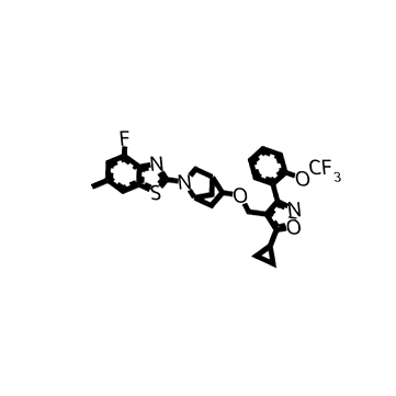 Cc1cc(F)c2nc(N3CC4CC3CC4OCc3c(-c4ccccc4OC(F)(F)F)noc3C3CC3)sc2c1